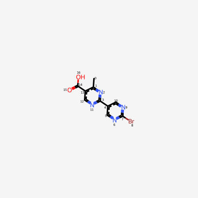 Cc1nc(-c2cnc(Br)nc2)ncc1C(=O)O